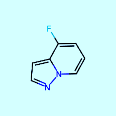 Fc1cccn2nccc12